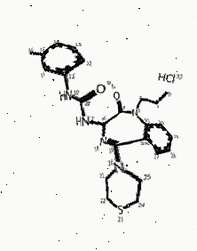 CCCN1C(=O)C(NC(=O)Nc2cccc(C)c2)N=C(N2CCSCC2)c2ccccc21.Cl